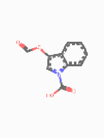 O=COc1cn(C(=O)O)c2ccccc12